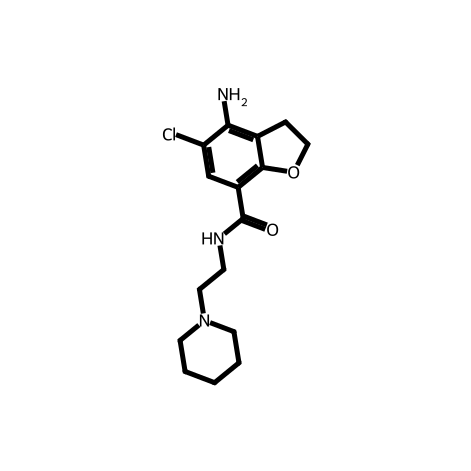 Nc1c(Cl)cc(C(=O)NCCN2CCCCC2)c2c1CCO2